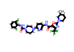 CC1CCCN(c2nc(C(F)(F)F)c(C(=O)Nc3ccc(N4CCCN(C(=O)Nc5c(F)cccc5F)CC4)nc3)o2)C1